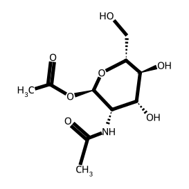 CC(=O)N[C@@H]1[C@@H](OC(C)=O)O[C@H](CO)[C@@H](O)[C@@H]1O